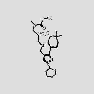 CN(CCCNCc1cn(C2CCCCO2)nc1C1CCC(C)(C)[C@@H](C(=O)O)C1)C(=O)OC(C)(C)C